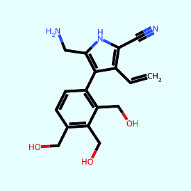 C=Cc1c(C#N)[nH]c(CN)c1-c1ccc(CO)c(CO)c1CO